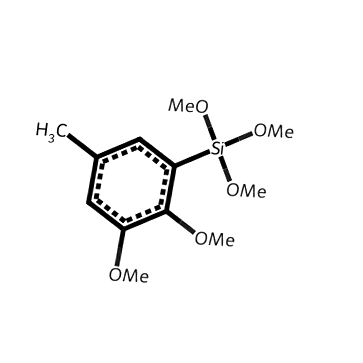 COc1cc(C)cc([Si](OC)(OC)OC)c1OC